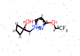 OC1(Cn2ccc(OCC(F)(F)F)n2)CCC1